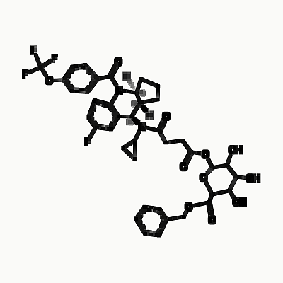 O=C(CCC(=O)N(C1CC1)[C@H]1c2cc(F)ccc2N(C(=O)c2ccc(OC(F)(F)F)cc2)[C@H]2CCC[C@@H]21)OC1OC(C(=O)OCc2ccccc2)C(O)C(O)C1O